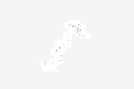 Cc1cc(-n2ccc(NC(=O)N3CCN(C(=O)C(C)(C)NC(=O)OC(C)(C)C)CC3)nc2=O)ccc1C=O